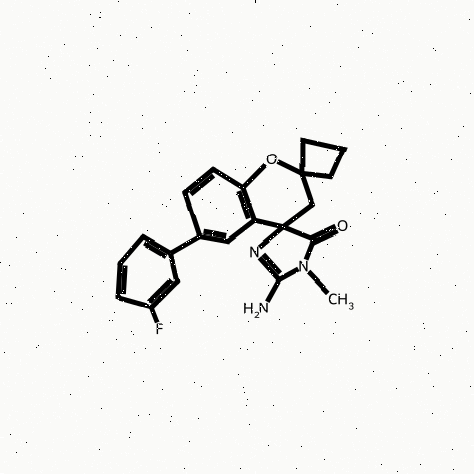 CN1C(=O)C2(CC3(CCC3)Oc3ccc(-c4cccc(F)c4)cc32)N=C1N